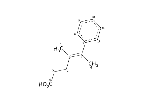 C/C(CCC(=O)O)=C(/C)c1ccccc1